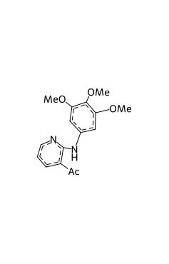 COc1cc(Nc2ncccc2C(C)=O)cc(OC)c1OC